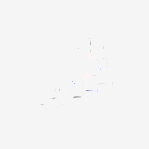 CC1Nc2cc(Cc3ccc(F)cc3)c(C=O)nc2OC1N1CCC1O[Si](C)(C)C(C)(C)C